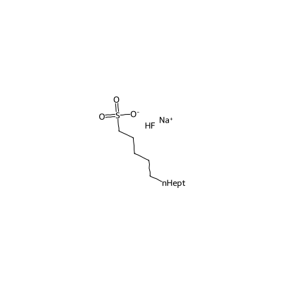 CCCCCCCCCCCCS(=O)(=O)[O-].F.[Na+]